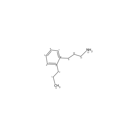 CCCc1ccccc1CCCN